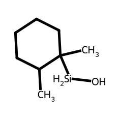 CC1CCCCC1(C)[SiH2]O